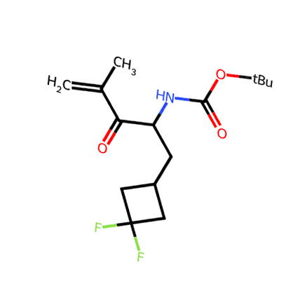 C=C(C)C(=O)C(CC1CC(F)(F)C1)NC(=O)OC(C)(C)C